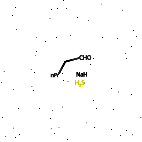 CCCCC=O.S.[NaH]